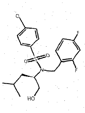 CC(C)C[C@H](CO)N(Cc1ccc(F)cc1F)S(=O)(=O)c1ccc(Cl)cc1